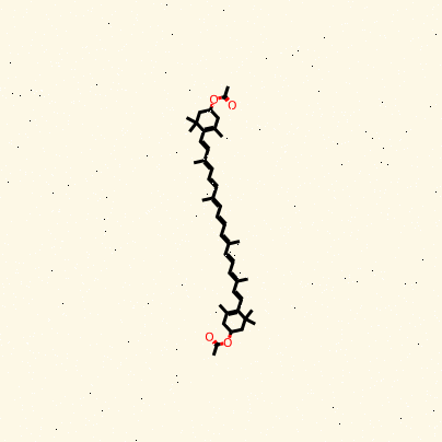 CC(=O)OC1CC(C)=C(/C=C/C(C)=C/C=C/C(C)=C/C=C/C=C(C)/C=C/C=C(C)/C=C/C2=C(C)CC(OC(C)=O)CC2(C)C)C(C)(C)C1